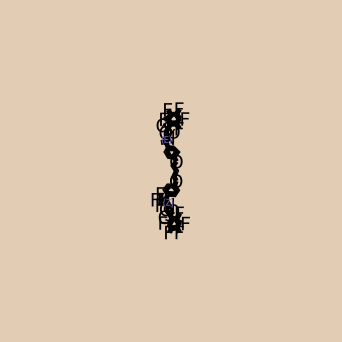 C/C(=N\OS(=O)(=O)c1c(F)c(F)c(F)c(F)c1F)c1ccc(OCCCOc2ccc(/C(=N/OS(=O)(=O)c3c(F)c(F)c(F)c(F)c3F)C(F)(F)F)cc2)cc1